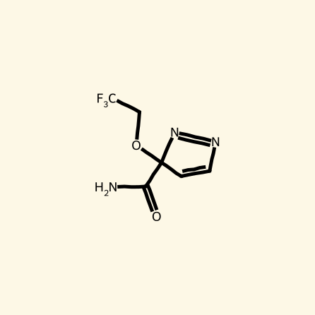 NC(=O)C1(OCC(F)(F)F)C=CN=N1